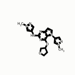 Cn1cc(Nc2nc(OC3CCOC3)c3c(ccn3-c3cnn(C)c3)n2)cn1